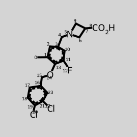 Cc1cc(CN2CC(C(=O)O)C2)cc(F)c1OCc1ccc(Cl)c(Cl)c1